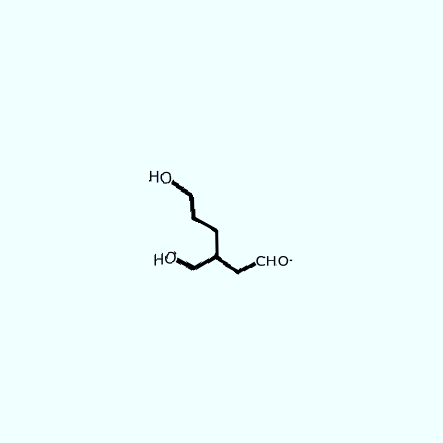 O=[C]CC(CO)CCCO